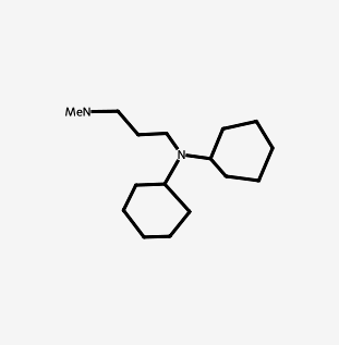 CNCCCN(C1CCCCC1)C1CCCCC1